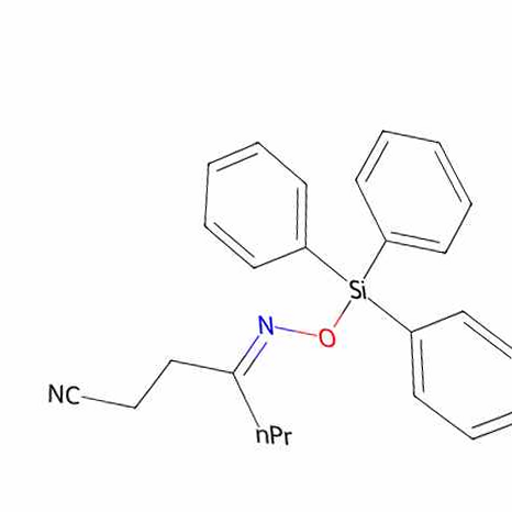 CCC/C(CCC#N)=N\O[Si](c1ccccc1)(c1ccccc1)c1ccccc1